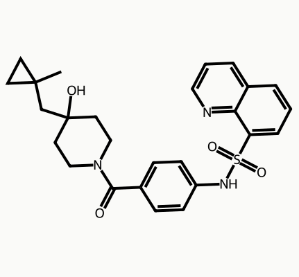 CC1(CC2(O)CCN(C(=O)c3ccc(NS(=O)(=O)c4cccc5cccnc45)cc3)CC2)CC1